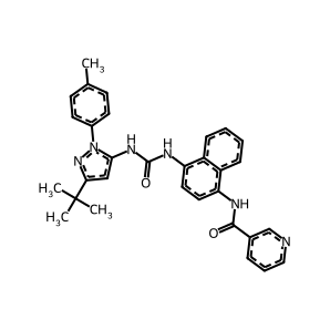 Cc1ccc(-n2nc(C(C)(C)C)cc2NC(=O)Nc2ccc(NC(=O)c3cccnc3)c3ccccc23)cc1